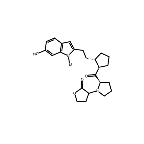 CCn1c(CC[C@@H]2CCCN2C(=O)[C@H]2CCCN2C2CCOC2=O)cc2ccc(C#N)cc21